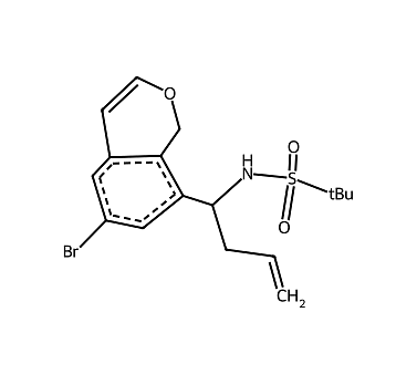 C=CCC(NS(=O)(=O)C(C)(C)C)c1cc(Br)cc2c1COC=C2